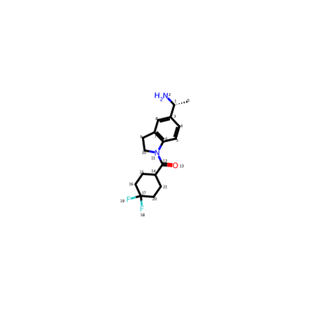 C[C@@H](N)c1ccc2c(c1)CCN2C(=O)C1CCC(F)(F)CC1